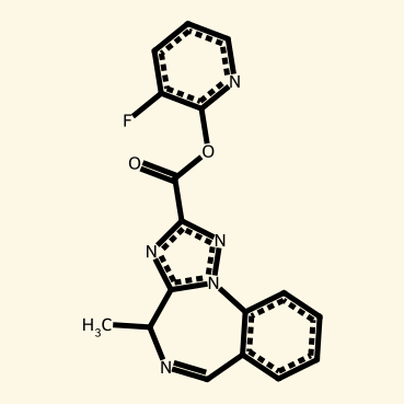 CC1N=Cc2ccccc2-n2nc(C(=O)Oc3ncccc3F)nc21